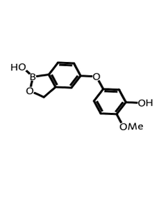 COc1ccc(Oc2ccc3c(c2)COB3O)cc1O